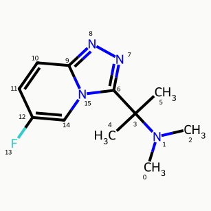 CN(C)C(C)(C)c1nnc2ccc(F)cn12